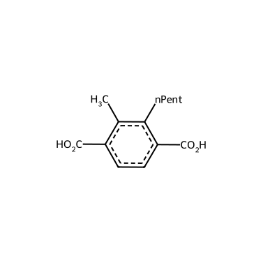 CCCCCc1c(C(=O)O)ccc(C(=O)O)c1C